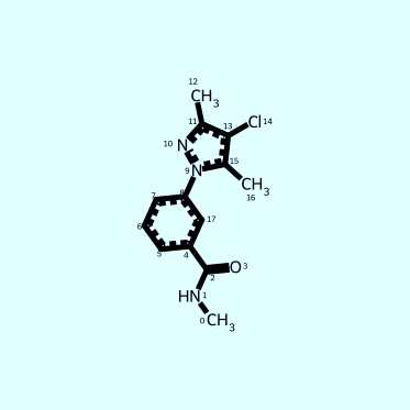 CNC(=O)c1cccc(-n2nc(C)c(Cl)c2C)c1